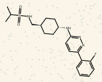 CC(C)S(=O)(=O)NC[C@H]1CC[C@H](Nc2ccc(-c3ccccc3F)nn2)CC1